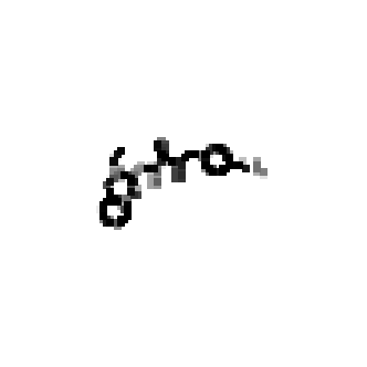 CCN(Cc1ccccn1)C(=O)CNC(=O)NCc1ccc(N)cc1